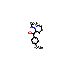 COc1ccc(C(=O)C2CCCCN2CC(=O)O)cc1